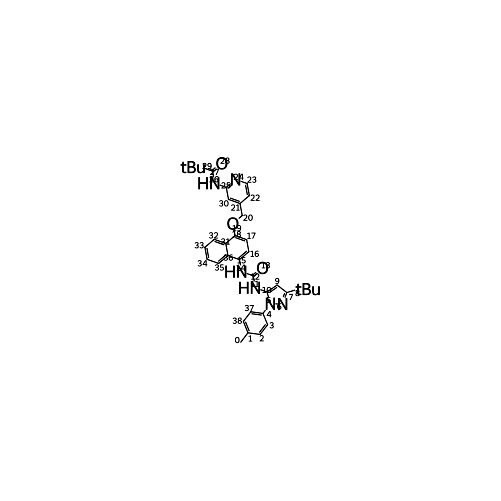 Cc1ccc(-n2nc(C(C)(C)C)cc2NC(=O)Nc2ccc(OCc3ccnc(NC(=O)C(C)(C)C)c3)c3ccccc23)cc1